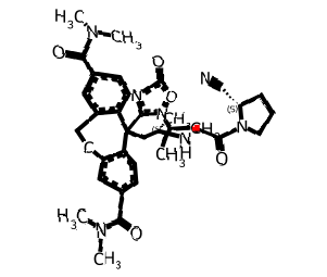 CC(C)n1oc(=O)nc1C1(C[C@H](C)NCC(=O)N2CCC[C@H]2C#N)c2ccc(C(=O)N(C)C)cc2CCc2cc(C(=O)N(C)C)ccc21